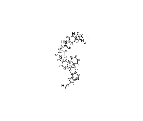 Cc1cc2ncc3cc(-c4ccccc4)c(-c4ccc(CN5CCC(NC(=O)Nc6ccc(C(C)(C)C)cc6)CC5)cc4)nc3n2n1